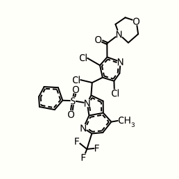 Cc1cc(C(F)(F)F)nc2c1cc(C(Cl)c1c(Cl)cnc(C(=O)N3CCOCC3)c1Cl)n2S(=O)(=O)c1ccccc1